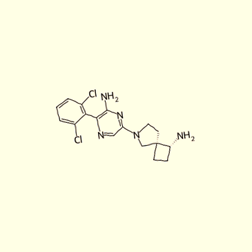 Nc1nc(N2CC[C@]3(CC[C@H]3N)C2)cnc1-c1c(Cl)cccc1Cl